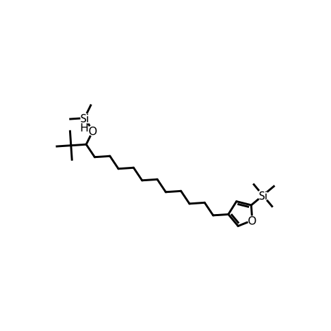 C[SiH](C)OC(CCCCCCCCCCCc1coc([Si](C)(C)C)c1)C(C)(C)C